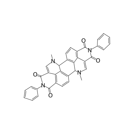 CN1C=C2C(=O)N(c3ccccc3)C(=O)c3ccc4c(c32)C1c1ccc2c3c1C4N(C)C=C3C(=O)N(c1ccccc1)C2=O